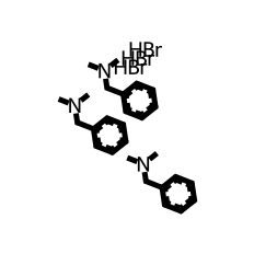 Br.Br.Br.CN(C)Cc1ccccc1.CN(C)Cc1ccccc1.CN(C)Cc1ccccc1